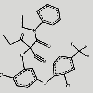 CCC(=O)C(C#N)(Oc1cc(Oc2ccc(C(F)(F)F)cc2Cl)ccc1Cl)C(=O)N(CC)c1ccccc1